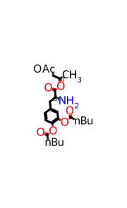 CCCCC(=O)Oc1ccc(C[C@H](N)C(=O)O[C@H](C)COC(C)=O)cc1OC(=O)CCCC